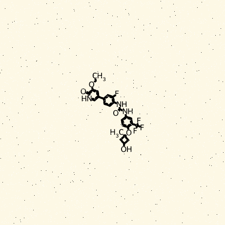 CCOc1cc(-c2ccc(NC(=O)Nc3ccc(OC4(C)CC(O)C4)c(C(F)(F)F)c3)c(F)c2)c[nH]c1=O